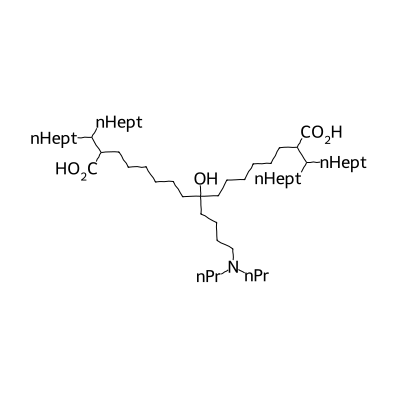 CCCCCCCC(CCCCCCC)C(CCCCCCC(O)(CCCCCCC(C(=O)O)C(CCCCCCC)CCCCCCC)CCCCN(CCC)CCC)C(=O)O